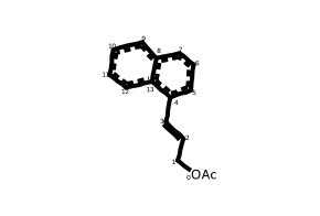 CC(=O)OC/C=C/c1cccc2ccccc12